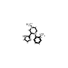 CN1CCN(c2ccccc2C(F)(F)F)C(C2=NCCN2)C1